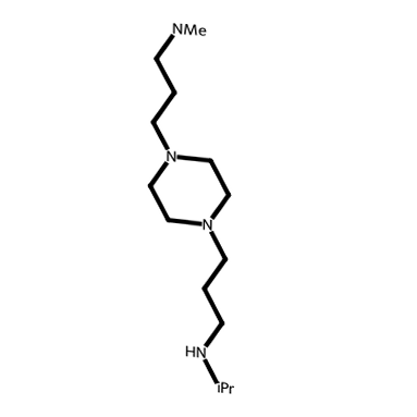 CNCCCN1CCN(CCCNC(C)C)CC1